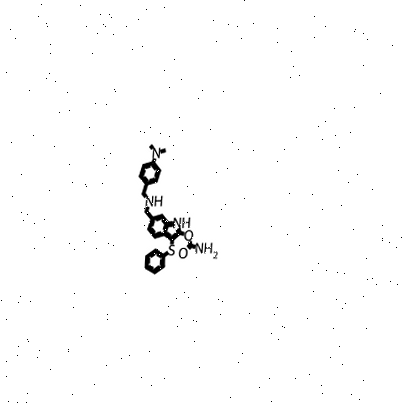 CN(C)c1ccc(CNCc2ccc3c(Sc4ccccc4)c(OC(N)=O)[nH]c3c2)cc1